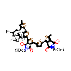 CCCCCCCCN1C(=O)c2c(C)sc(-c3ccc(-c4sc(-c5cc6c(s5)-c5sc(C)cc5[Si]6(CC(CC)CCCC)CC(CC)CCCC)c5c4C(=O)N(CCCCCCCC)C5=O)s3)c2C1=O